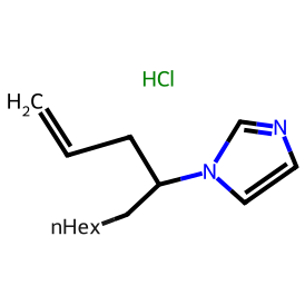 C=CCC(CCCCCCC)n1ccnc1.Cl